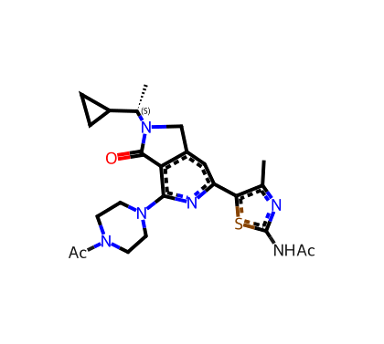 CC(=O)Nc1nc(C)c(-c2cc3c(c(N4CCN(C(C)=O)CC4)n2)C(=O)N([C@@H](C)C2CC2)C3)s1